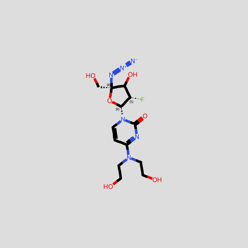 [N-]=[N+]=N[C@]1(CO)O[C@@H](n2ccc(N(CCO)CCO)nc2=O)[C@@H](F)C1O